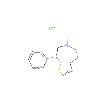 CN1CCc2ccsc2C(c2ccccc2)C1.Cl